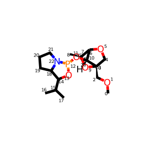 COC[C@@]12COC([C@H](C)O1)[C@H]2OP1OC(C(C)C)C2CCCN21